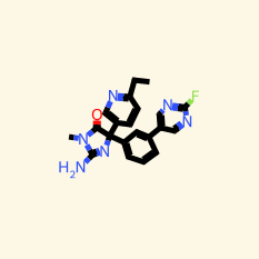 CCc1ccc(C2(c3cccc(-c4cnc(F)nc4)c3)N=C(N)N(C)C2=O)cn1